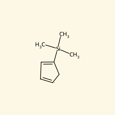 C[Si](C)(C)C1=CC=[C]C1